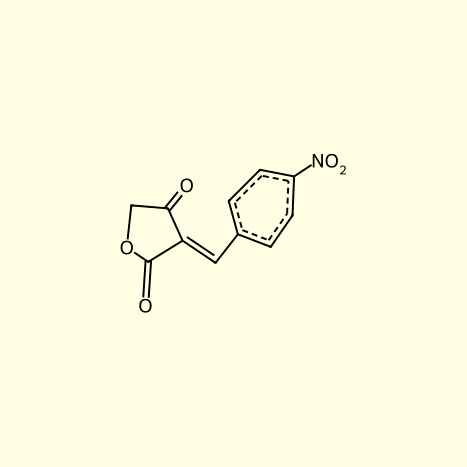 O=C1COC(=O)C1=Cc1ccc([N+](=O)[O-])cc1